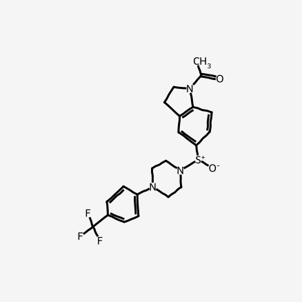 CC(=O)N1CCc2cc([S+]([O-])N3CCN(c4ccc(C(F)(F)F)cc4)CC3)ccc21